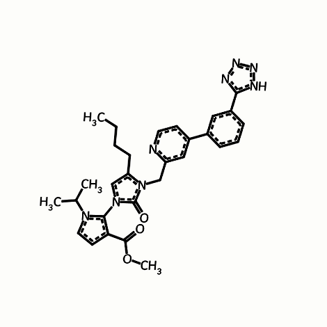 CCCCc1cn(-c2c(C(=O)OC)ccn2C(C)C)c(=O)n1Cc1cc(-c2cccc(-c3nnn[nH]3)c2)ccn1